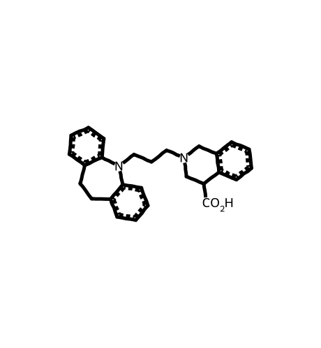 O=C(O)C1CN(CCCN2c3ccccc3CCc3ccccc32)Cc2ccccc21